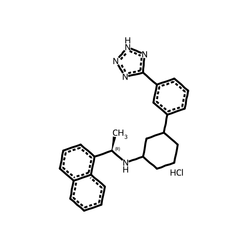 C[C@@H](NC1CCCC(c2cccc(-c3nn[nH]n3)c2)C1)c1cccc2ccccc12.Cl